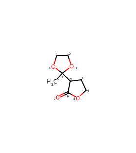 CC1(C2CCOC2=O)OCCO1